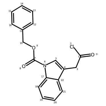 O=C(Cl)Cc1cn(C(=O)OCc2ccccc2)c2ccccc12